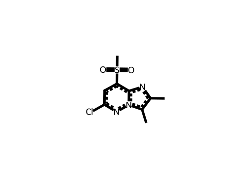 Cc1nc2c(S(C)(=O)=O)cc(Cl)nn2c1C